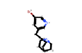 Brc1cncc(CC2CC3CCN2CC3)c1